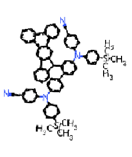 C[Si](C)(C)c1ccc(N(c2ccc(C#N)cc2)c2ccc(-c3ccc(N(c4ccc(C#N)cc4)c4ccc([Si](C)(C)C)cc4)cc3C3c4ccccc4-c4cc5c6ccccc6c6ccccc6c5cc43)cc2)cc1